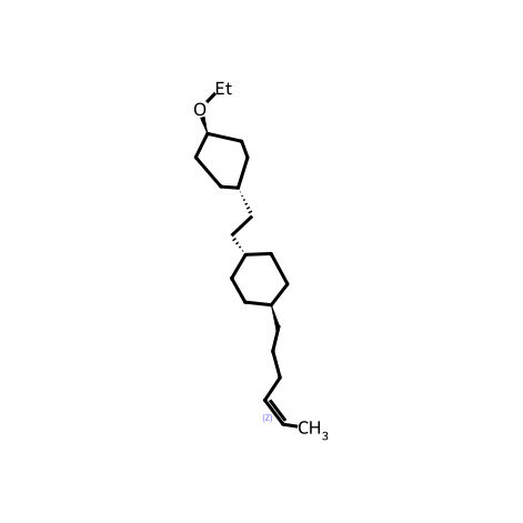 C/C=C\CCC[C@H]1CC[C@H](CC[C@H]2CC[C@H](OCC)CC2)CC1